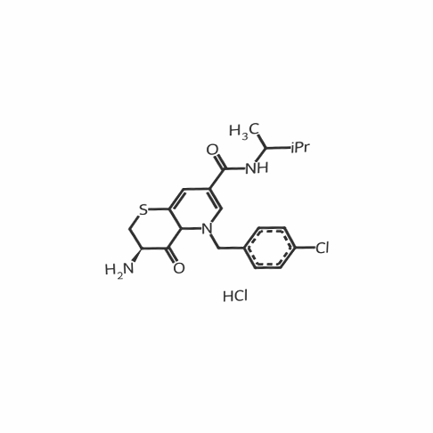 CC(C)C(C)NC(=O)C1=CN(Cc2ccc(Cl)cc2)C2C(=O)[C@@H](N)CSC2=C1.Cl